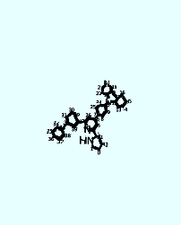 C1=CNC(c2cc(-c3ccc(-n4c5ccccc5c5cnccc54)cc3)cc(-c3cccc(-c4ccccc4)c3)n2)C=C1